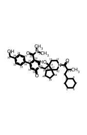 CC(CC1CCCCC1)C(=O)N1CCC(O)(Cn2cc(C(=O)N(C)C)c(-c3ccc(CO)cc3)cc2=O)C2(CCCC2)C1